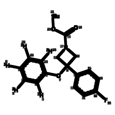 [2H]c1c([2H])c([2H])c(OC2(c3ccc(F)cc3)CN(C(=O)OC(C)(C)C)C2)c([2H])c1[2H]